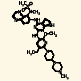 CCc1cc(Nc2nc(Nc3ccc4nccnc4c3N(C)S(C)(=O)=O)c3cc[nH]c3n2)c(OC)nc1N1CCC(N2CCN(C)CC2)CC1